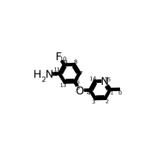 Cc1ccc(Oc2ccc(F)c(N)c2)cn1